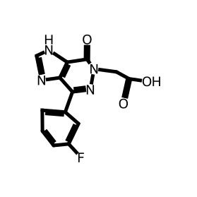 O=C(O)Cn1nc(-c2cccc(F)c2)c2nc[nH]c2c1=O